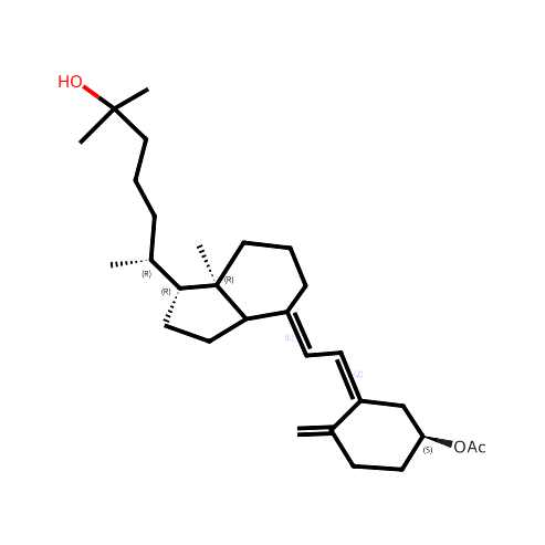 C=C1CC[C@H](OC(C)=O)C/C1=C/C=C1\CCC[C@@]2(C)C1CC[C@@H]2[C@H](C)CCCC(C)(C)O